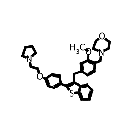 COc1cc(Cc2c(-c3ccc(OCCN4CCCC4)cc3)sc3ccccc23)ccc1CN1CCOCC1